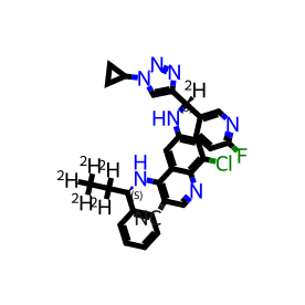 [2H]C([2H])([2H])C([2H])([2H])[C@H](Nc1c(C#N)cnc2c(Cl)cc(N[C@@]([2H])(c3ccc(F)nc3)c3cn(C4CC4)nn3)cc12)c1ccccc1